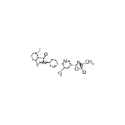 Cn1nc(-c2cnc(-c3ccc(NC(=O)c4c(F)cccc4F)cc3)c(C3CC3)c2)oc1=O